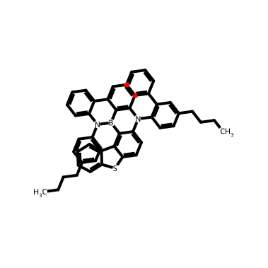 CCCCc1ccc(N2B3c4c(cccc4N(c4ccc(CCCC)cc4-c4ccccc4)c4ccc5sc6ccccc6c5c43)-c3ccccc32)cc1